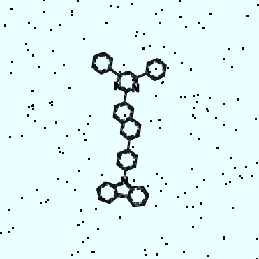 c1ccc(-c2cc(-c3ccccc3)nc(-c3ccc4cc(-c5ccc(-n6c7ccccc7c7ccccc76)cc5)ccc4c3)n2)cc1